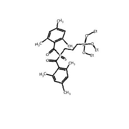 CCO[Si](CCCP(=S)(C(=O)c1c(C)cc(C)cc1C)C(=O)c1c(C)cc(C)cc1C)(OCC)OCC